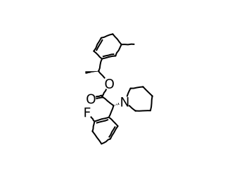 CC1C=C([C@H](C)OC(=O)[C@@H](C2=C(F)CCC=C2)N2CCCCC2)C=CC1